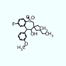 CCCCC1(CC)CS(=O)(=O)c2ccc(F)cc2C(c2cccc(OC)c2)C1O